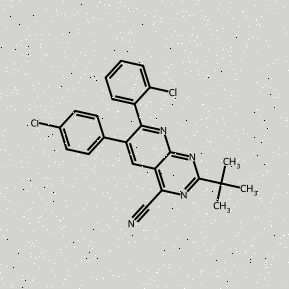 CC(C)(C)c1nc(C#N)c2cc(-c3ccc(Cl)cc3)c(-c3ccccc3Cl)nc2n1